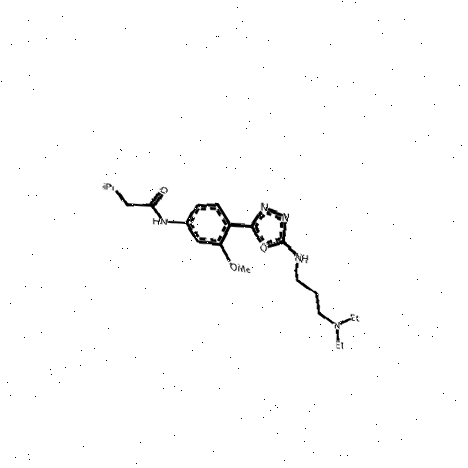 CCN(CC)CCCNc1nnc(-c2ccc(NC(=O)CC(C)C)cc2OC)o1